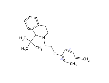 C=C/C=C\C(=C/C)OCCN1CCc2ccccc2C1C(C)(C)C